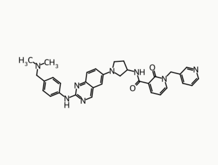 CN(C)Cc1ccc(Nc2ncc3cc(N4CCC(NC(=O)c5cccn(Cc6cccnc6)c5=O)C4)ccc3n2)cc1